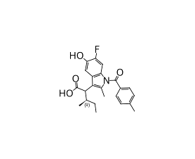 CC[C@@H](C)C(C(=O)O)c1c(C)n(C(=O)c2ccc(C)cc2)c2cc(F)c(O)cc12